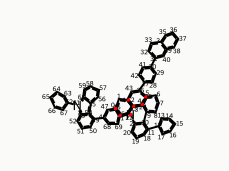 c1ccc(-c2ccccc2-c2c(-c3ccccc3)cccc2N(c2ccc(-c3ccc(-c4ccc5ccccc5c4)cc3)cc2)c2ccc(-c3cccc4c3c3ccccc3n4-c3ccccc3)cc2)cc1